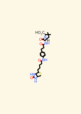 CC1(C)C[C@@H]2[C@H](NC(=O)CCc3ccc(NC(=O)CCCCC4SCC5NC(=O)NC54)cc3)C(=O)N2[C@H]1C(=O)O